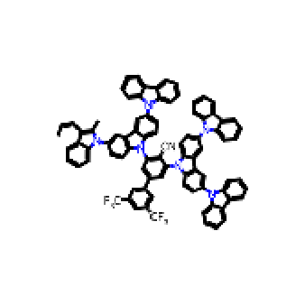 C/C=C\c1c(C)n(-c2ccc3c(c2)c2cc(-n4c5ccccc5c5ccccc54)ccc2n3-c2cc(-c3cc(C(F)(F)F)cc(C(F)(F)F)c3)cc(-n3c4ccc(-n5c6ccccc6c6ccccc65)cc4c4cc(-n5c6ccccc6c6ccccc65)ccc43)c2C#N)c2ccccc12